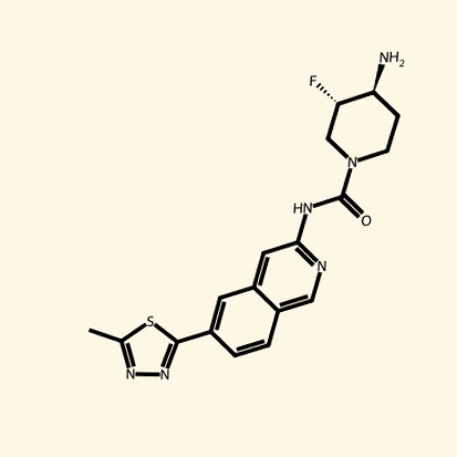 Cc1nnc(-c2ccc3cnc(NC(=O)N4CC[C@H](N)[C@@H](F)C4)cc3c2)s1